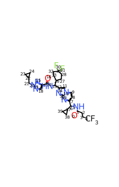 O=C(CCC(F)(F)F)NC(c1ccn2cc(C(NC(=O)c3cnn(CC4CC4)n3)C3CCC(F)(F)CC3)nc2n1)C1CC1